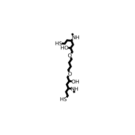 CNC(CCS)CC(O)COCCCCOCC(O)CC(CCS)NC